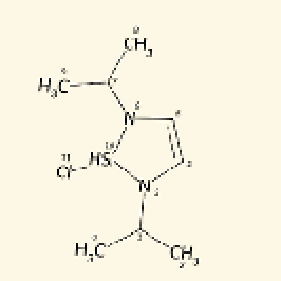 CC(C)N1C=CN(C(C)C)[SiH]1Cl